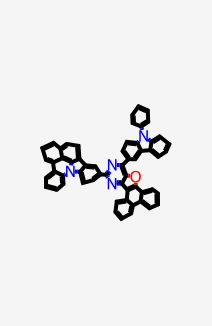 c1ccc(-n2c3ccccc3c3cc(-c4nc(-c5ccc6c(c5)c5ccc7cccc8c9ccccc9n6c5c78)nc5c4oc4c6ccccc6c6ccccc6c54)ccc32)cc1